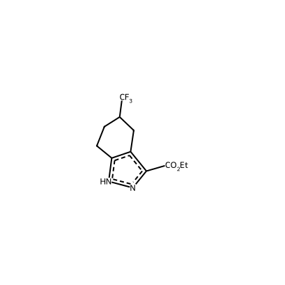 CCOC(=O)c1n[nH]c2c1CC(C(F)(F)F)CC2